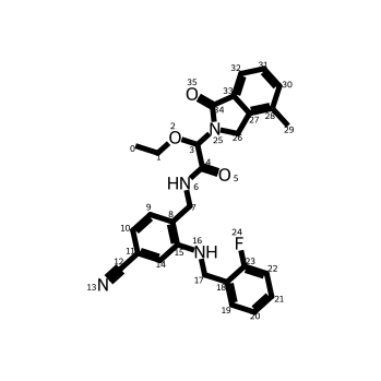 CCOC(C(=O)NCc1ccc(C#N)cc1NCc1ccccc1F)N1Cc2c(C)cccc2C1=O